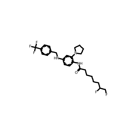 O=C(CCCCCC(F)CF)Nc1ccc(NCc2ccc(C(F)(F)F)cc2)cc1N1CCCC1